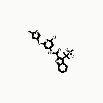 Cc1cc(Oc2cc(NC(=O)c3sc4ccccc4c3C(C)(C)S(C)(=O)=O)cc(Cl)n2)cs1